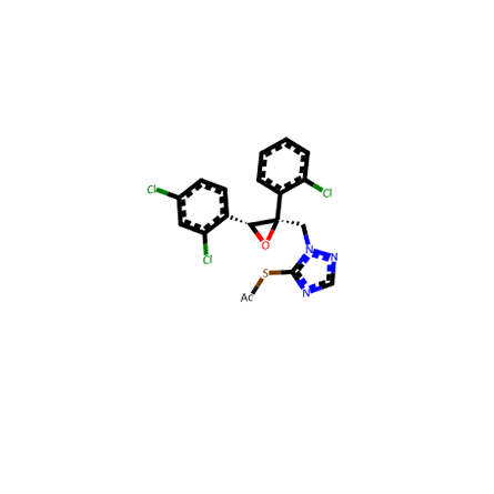 CC(=O)Sc1ncnn1C[C@]1(c2ccccc2Cl)O[C@@H]1c1ccc(Cl)cc1Cl